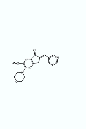 COc1cc2c(cc1N1CCOCC1)CC(=Cc1cccnc1)C2=O